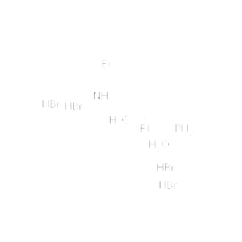 Br.Br.Br.Br.CCP.CCc1ccccc1C.N.O